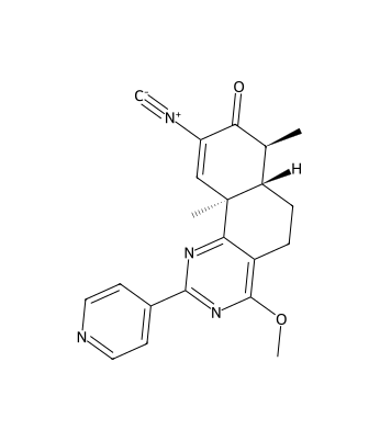 [C-]#[N+]C1=C[C@]2(C)c3nc(-c4ccncc4)nc(OC)c3CC[C@H]2[C@H](C)C1=O